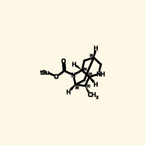 C[C@H]1[C@H]2NC[C@@H]3C[C@H]1N(C(=O)OC(C)(C)C)[C@H]2C3